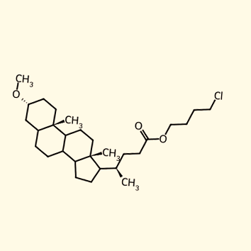 CO[C@@H]1CC[C@@]2(C)C(CCC3C2CC[C@@]2(C)C3CCC2[C@H](C)CCC(=O)OCCCCCl)C1